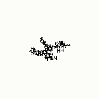 CCCCNC(=N)NC(=O)CCc1ccc(-c2ccc(CN3CCN(C(CC)CC)CC3)cc2)c(OCCCOC)c1.O=C(O)C(F)(F)F